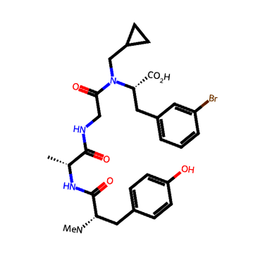 CN[C@@H](Cc1ccc(O)cc1)C(=O)N[C@H](C)C(=O)NCC(=O)N(CC1CC1)[C@@H](Cc1cccc(Br)c1)C(=O)O